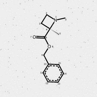 CN1CC[C@]1(C)C(=O)OCc1ccccc1